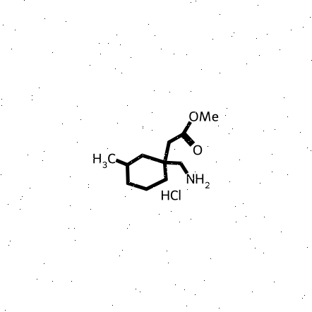 COC(=O)CC1(CN)CCCC(C)C1.Cl